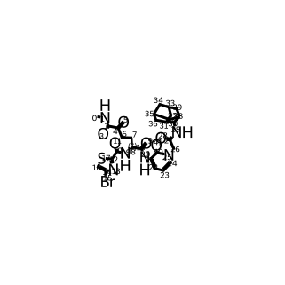 CNC(=O)C(=O)CC[C@H](NC(=O)c1nc(Br)cs1)C(=O)Nc1cccn(CC(=O)NC2C3CC4CC(C3)CC2C4)c1=O